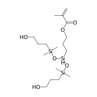 C=C(C)C(=O)OCCC[SiH](O[Si](C)(C)CCCO)O[Si](C)(C)CCCO